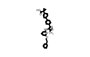 Cc1noc(-c2ccc(-c3ccc(C4(C(=O)O)CC4)cc3)cc2)c1Nc1cccc(OCCc2ccccc2)n1